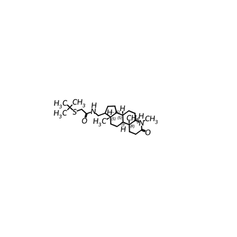 CN1C(=O)CC[C@]2(C)[C@H]3CC[C@]4(C)C(CNC(=O)CSC(C)(C)C)CC[C@H]4[C@@H]3CC[C@@H]12